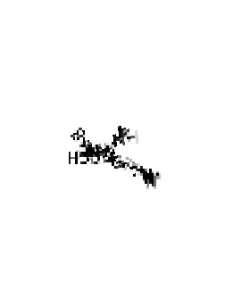 Cc1ccnc(NCCCC(=O)N[C@@H](COCCOCCOCCOCCN=[N+]=[N-])C(=O)N[C@H](CC(=O)O)c2ccc(-c3cccc4ccccc34)cc2)c1